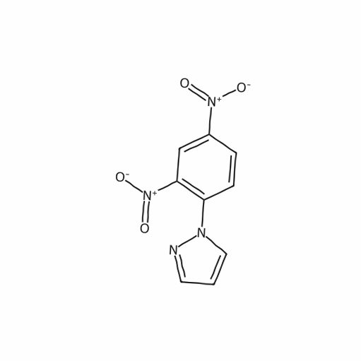 O=[N+]([O-])c1ccc(-n2cccn2)c([N+](=O)[O-])c1